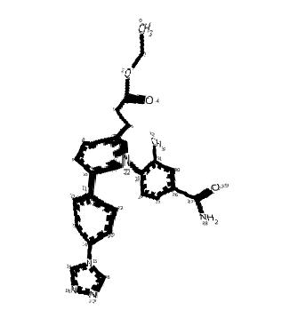 CCOC(=O)CCc1ccc(-c2ccc(-n3cnnc3)cc2)n1-c1ccc(C(N)=O)cc1C